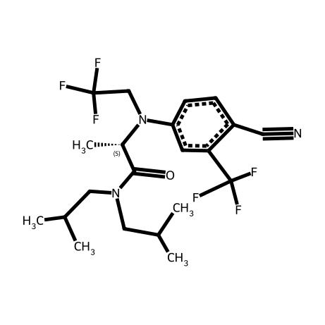 CC(C)CN(CC(C)C)C(=O)[C@H](C)N(CC(F)(F)F)c1ccc(C#N)c(C(F)(F)F)c1